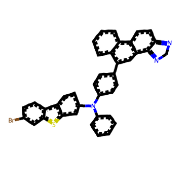 Brc1ccc2c(c1)sc1cc(N(c3ccccc3)c3ccc(-c4cc5c6c(ccc5c5ccccc45)=NCN=6)cc3)ccc12